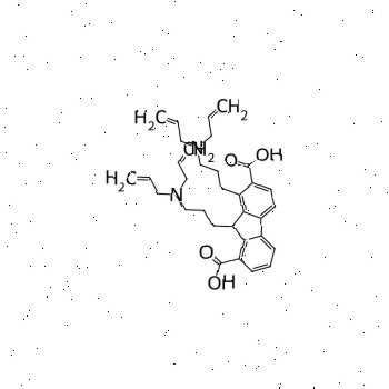 C=CCN(CC=C)CCCc1c(C(=O)O)ccc2c1C(CCCN(CC=C)CC=C)c1c(C(=O)O)cccc1-2